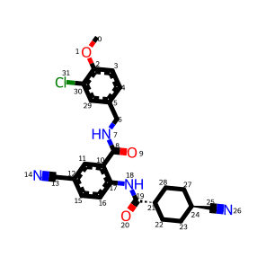 COc1ccc(CNC(=O)c2cc(C#N)ccc2NC(=O)[C@H]2CC[C@H](C#N)CC2)cc1Cl